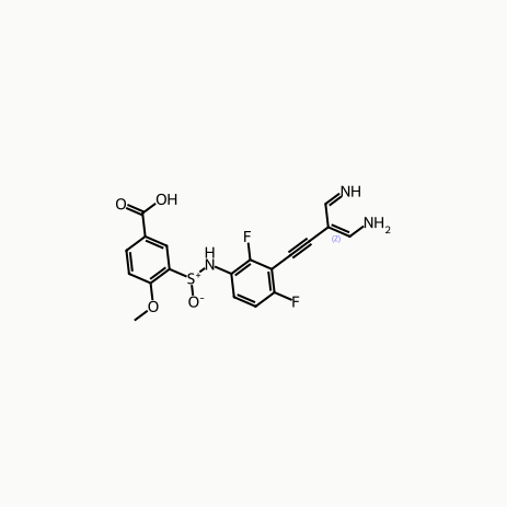 COc1ccc(C(=O)O)cc1[S+]([O-])Nc1ccc(F)c(C#C/C(C=N)=C/N)c1F